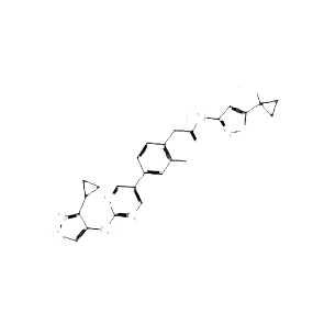 O=C(Cc1ccc(-c2cnc(Nc3c[nH]nc3C3CC3)nc2)cc1F)Nc1cc(C2(C(F)(F)F)CC2)on1